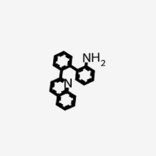 Nc1ccccc1-c1ccccc1-c1ccc2ccccc2n1